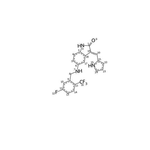 O=C1Nc2ccc(NCc3cc(F)ccc3C(F)(F)F)cc2C1=Cc1ccc[nH]1